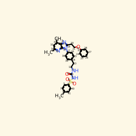 Cc1ccc(S(=O)(=O)NC(=O)NCCc2ccc(-n3c(CCOc4ccccc4)nc4c(C)cc(C)nc43)cc2)cc1